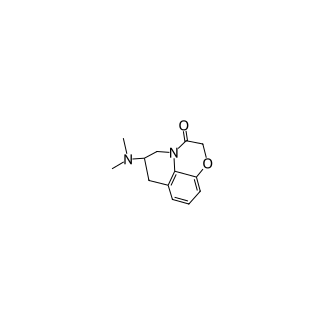 CN(C)C1Cc2cccc3c2N(C1)C(=O)CO3